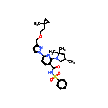 C[C@@H]1CN(c2nc(-n3ccc(COCCC4(C)CC4)n3)ccc2C(=O)NS(=O)(=O)c2ccccc2)C(C)(C)C1